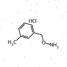 Cc1cccc(CON)c1.Cl